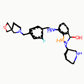 OC1c2cccc(NCc3ccc(CN4CCC5(COC5)C4)cc3F)c2PN1C1CCCNC1